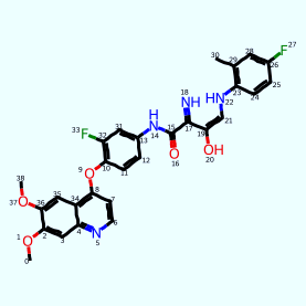 COc1cc2nccc(Oc3ccc(NC(=O)C(=N)/C(O)=C\Nc4ccc(F)cc4C)cc3F)c2cc1OC